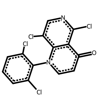 O=c1ccn(-c2c(Cl)cccc2Cl)c2c(Cl)cnc(Cl)c12